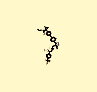 CCOC(=O)C1(c2ccc(-c3ccc(-c4onc(C)c4CC(F)(F)CC(O)c4ccc(C(F)(F)F)cc4)cc3)cc2)CC1